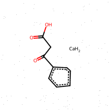 O=C(O)CC(=O)c1ccccc1.[CaH2]